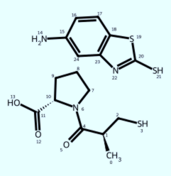 C[C@H](CS)C(=O)N1CCC[C@H]1C(=O)O.Nc1ccc2sc(S)nc2c1